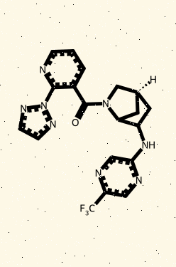 O=C(c1cccnc1-n1nccn1)N1C[C@H]2CC(Nc3cnc(C(F)(F)F)cn3)C1C2